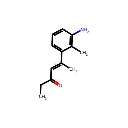 CCC(=O)/C=C(\C)c1cccc(N)c1C